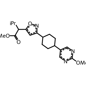 COC(=O)C(c1cc(C2CCC(c3cnc(OC)nc3)CC2)no1)C(C)C